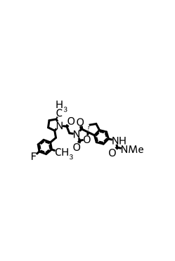 CNC(=O)Nc1ccc2c(c1)CC[C@@]21OC(=O)N(CC(=O)N2C(Cc3ccc(F)cc3C)CC[C@H]2C)C1=O